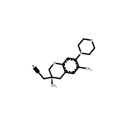 Cc1cc2c(cc1N1CCOCC1)OC[C@@](C)(CC#N)C2